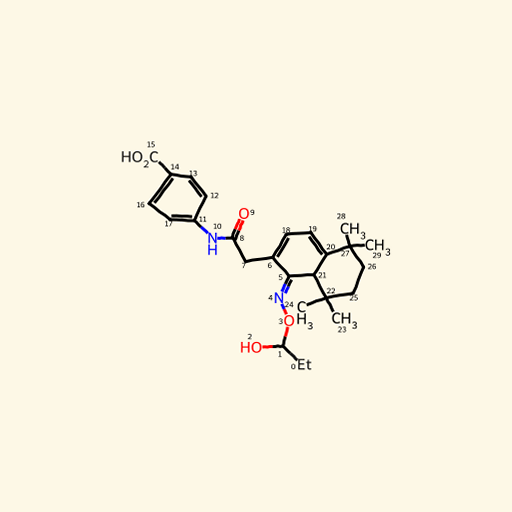 CCC(O)O/N=C1/C(CC(=O)Nc2ccc(C(=O)O)cc2)=CC=C2C1C(C)(C)CCC2(C)C